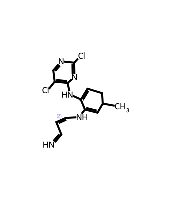 CC1C=C(N/C=C\C=N)C(Nc2nc(Cl)ncc2Cl)=CC1